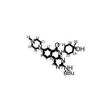 CCCCNc1ncc2c3ccc(N4CCN(C)CC4)cc3c(=O)n([C@H]3CC[C@@](C)(O)CC3)c2n1